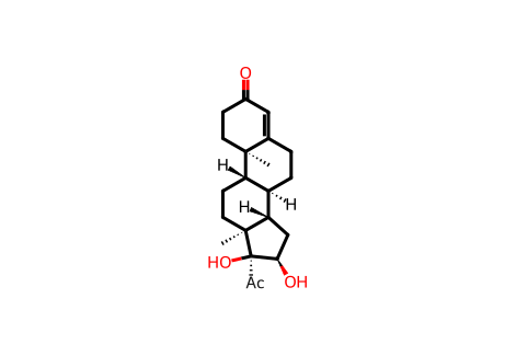 CC(=O)[C@@]1(O)[C@H](O)C[C@H]2[C@@H]3CCC4=CC(=O)CC[C@]4(C)[C@H]3CC[C@@]21C